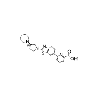 O=C(O)c1cccc(-c2ccc3nc(N4CC[C@@H](N5CCCCC5)C4)sc3c2)n1